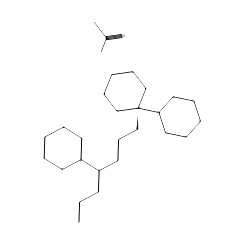 CCCC(CCC[C@]1(C2CCCCC2)CC[C@@H](OC(C)=O)CC1)C1CCCCC1